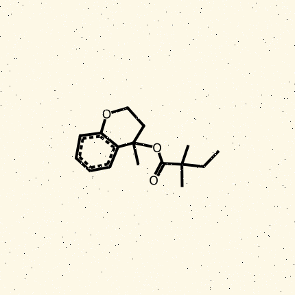 CCC(C)(C)C(=O)OC1(C)CCOc2ccccc21